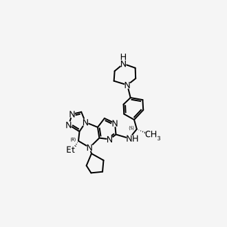 CC[C@@H]1c2nncn2-c2cnc(N[C@@H](C)c3ccc(N4CCNCC4)cc3)nc2N1C1CCCC1